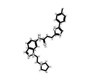 Cc1ccc(-c2cnc(CCC(=O)Nc3ccc4cnn(CCN5CCCC5)c4c3)o2)cc1